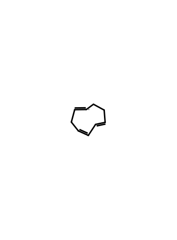 [C]1=C/C/C=C\C=C\CC/1